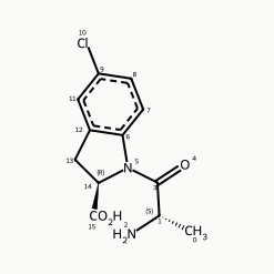 C[C@H](N)C(=O)N1c2ccc(Cl)cc2C[C@@H]1C(=O)O